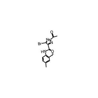 CC(=O)n1nc(Br)c(C(=O)Nc2ccc(C)cc2F)n1